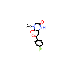 CC(=O)N1CC(=O)NC(=CC(=O)c2ccc(F)cc2)C1=O